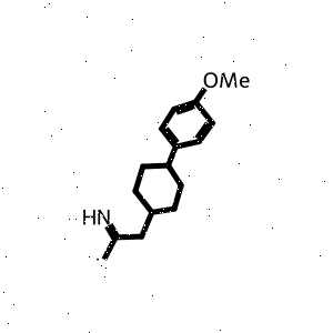 [CH2]C(=N)CC1CCC(c2ccc(OC)cc2)CC1